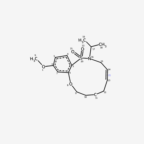 COc1ccc2c(c1)OCCCC/C=C\CN(C(C)C)S2(=O)=O